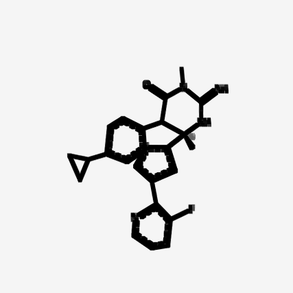 CN1C(=N)N[C@](C)(c2cc(-c3ncccc3F)cs2)C(c2ccc(C3CC3)cc2)C1=O